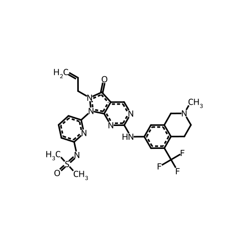 C=CCn1c(=O)c2cnc(Nc3cc4c(c(C(F)(F)F)c3)CCN(C)C4)nc2n1-c1cccc(N=S(C)(C)=O)n1